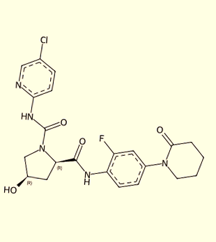 O=C(Nc1ccc(N2CCCCC2=O)cc1F)[C@H]1C[C@@H](O)CN1C(=O)Nc1ccc(Cl)cn1